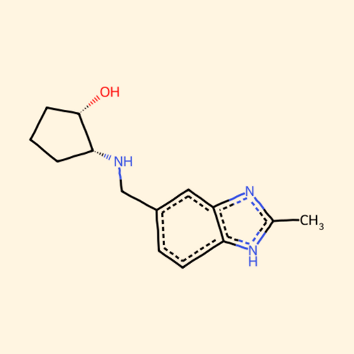 Cc1nc2cc(CN[C@@H]3CCC[C@@H]3O)ccc2[nH]1